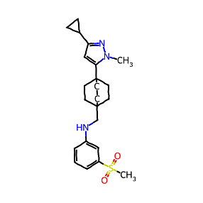 Cn1nc(C2CC2)cc1C12CCC(CNc3cccc(S(C)(=O)=O)c3)(CC1)CC2